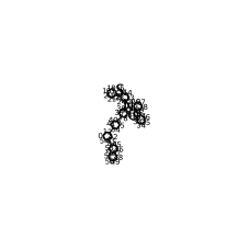 c1cc(-c2ccc(-c3ccc(N(c4ccc5sc6ccccc6c5c4)c4cccc5c4oc4ccccc45)cc3)cc2)cc(-c2ccc3ccccc3c2)c1